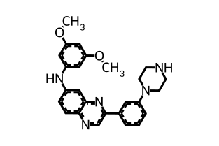 COc1cc(Nc2ccc3ncc(-c4cccc(N5CCNCC5)c4)nc3c2)cc(OC)c1